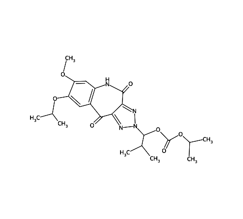 COc1cc2[nH]c(=O)c3nn(C(OC(=O)OC(C)C)C(C)C)nc3c(=O)c2cc1OC(C)C